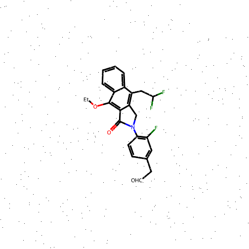 CCOc1c2c(c(CC(F)F)c3ccccc13)CN(c1ccc(CC=O)cc1F)C2=O